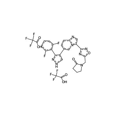 O=C(O)C(F)(F)F.O=C(O)C(F)(F)F.O=C1CCCN1Cc1nc(-c2cnc3ccc(-c4c[nH]nc4-c4c(F)cccc4F)cn23)no1